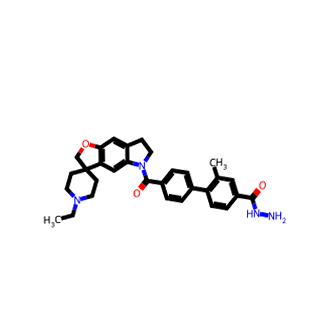 CCN1CCC2(CC1)COc1cc3c(cc12)N(C(=O)c1ccc(-c2ccc(C(=O)NN)cc2C)cc1)CC3